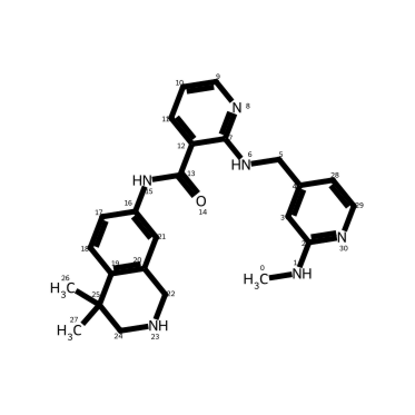 CNc1cc(CNc2ncccc2C(=O)Nc2ccc3c(c2)CNCC3(C)C)ccn1